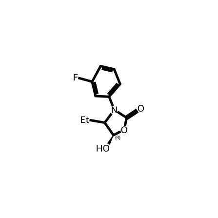 CCC1[C@H](O)OC(=O)N1c1cccc(F)c1